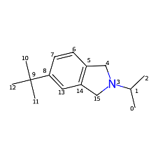 CC(C)N1Cc2ccc(C(C)(C)C)cc2C1